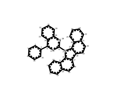 c1ccc(-c2nc(-n3c4c5ccccc5ccc4c4ccc5ccccc5c43)nc3ccccc23)cc1